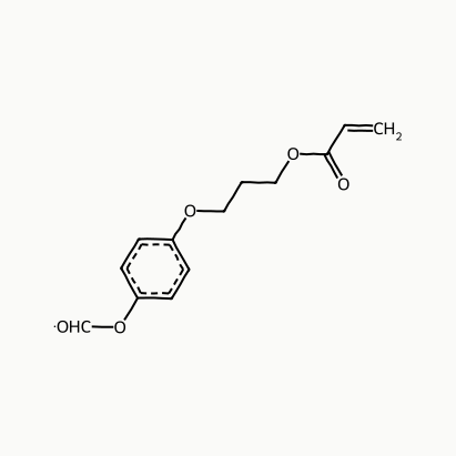 C=CC(=O)OCCCOc1ccc(O[C]=O)cc1